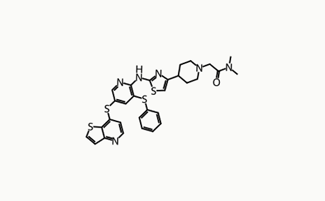 CN(C)C(=O)CN1CCC(c2csc(Nc3ncc(Sc4ccnc5ccsc45)cc3Sc3ccccc3)n2)CC1